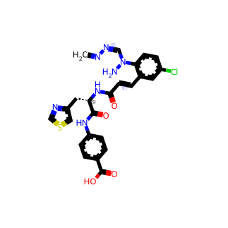 C=N/N=C\N(N)c1ccc(Cl)cc1/C=C/C(=O)N[C@@H](Cc1cscn1)C(=O)Nc1ccc(C(=O)O)cc1